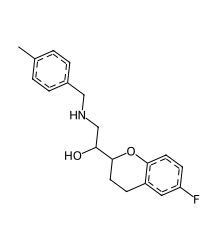 Cc1ccc(CNCC(O)C2CCc3cc(F)ccc3O2)cc1